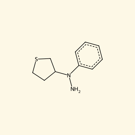 NN(c1ccccc1)C1CCSC1